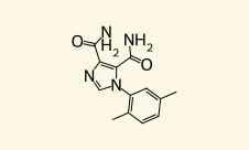 Cc1ccc(C)c(-n2cnc(C(N)=O)c2C(N)=O)c1